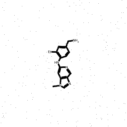 CCc1cc(CN)ccc1Nc1cc2c(cn1)ncn2C